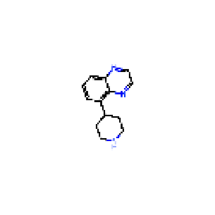 c1cc(C2CCNCC2)c2nccnc2c1